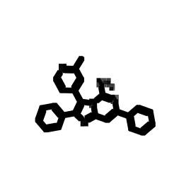 Cc1cc(-c2c(-c3ccccc3)nc3cc(-c4ccccc4)nc(N)n23)ccn1